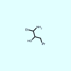 CCC(N)C(O)CC(C)C